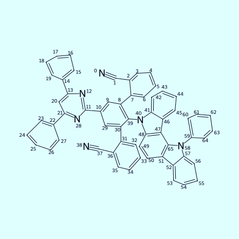 N#Cc1ccccc1-c1cc(-c2nc(-c3ccccc3)cc(-c3ccccc3)n2)cc(-c2ccccc2C#N)c1-n1c2ccccc2c2c1ccc1c3ccccc3n(-c3ccccc3)c12